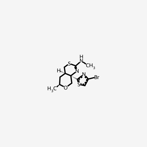 CNC1=N[C@@]2(c3nc(Br)cs3)CO[C@@H](C)C[C@H]2CS1